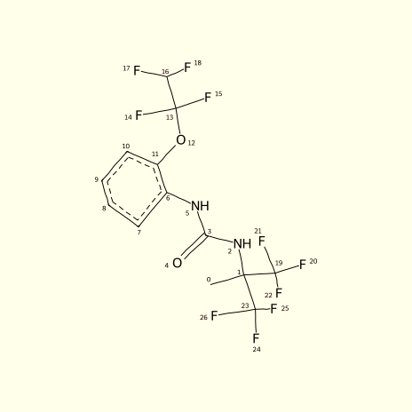 CC(NC(=O)Nc1ccccc1OC(F)(F)C(F)F)(C(F)(F)F)C(F)(F)F